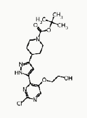 CC(C)(C)OC(=O)N1CCC(c2cc(-c3nc(Cl)ncc3OCCO)[nH]n2)CC1